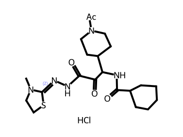 CC(=O)N1CCC(C(NC(=O)C2CCCCC2)C(=O)C(=O)N/N=C2\SCCN2C)CC1.Cl